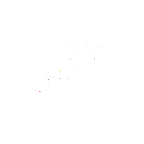 Cc1ccc(SC(F)(F)C(F)(F)S(=O)(=O)O)c(C)c1